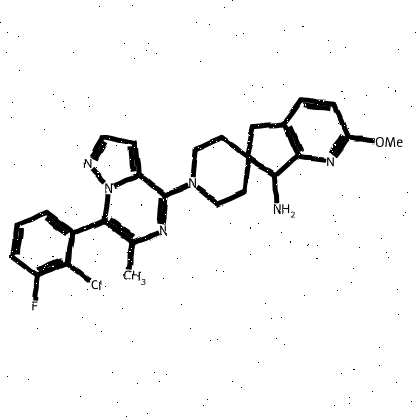 COc1ccc2c(n1)C(N)C1(CCN(c3nc(C)c(-c4cccc(F)c4Cl)n4nccc34)CC1)C2